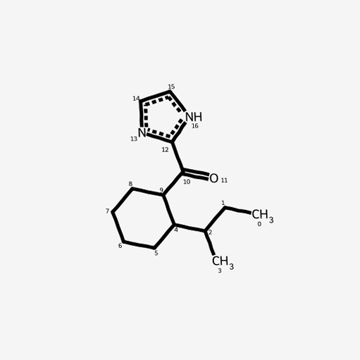 CCC(C)C1CCCCC1C(=O)c1ncc[nH]1